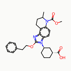 COC(=O)N1c2ccc3c(nc(OCCc4ccccc4)n3[C@@H]3CCC[C@@H](C(=O)O)C3)c2CCC1C